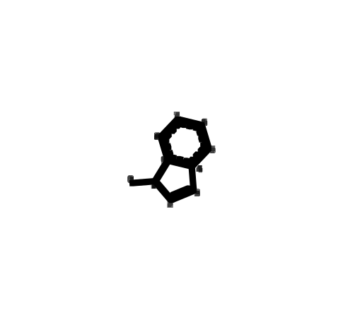 CC1C=Cc2cc[c]cc21